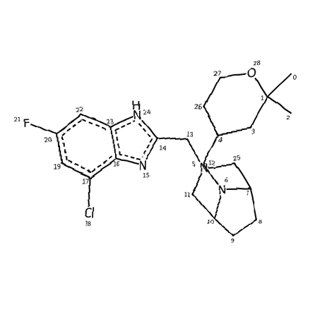 CC1(C)CC(CN2C3CCC2CN(Cc2nc4c(Cl)cc(F)cc4[nH]2)C3)CCO1